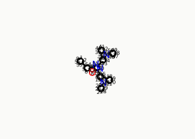 c1ccc(-c2ccc3oc4c(-c5ccc6c(c5)c5ccccc5n6-c5ccccc5)nc(-c5ccc6c(c5)c5ccccc5n6-c5ccccc5)nc4c3c2)cc1